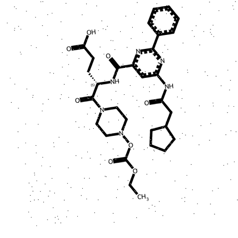 CCOC(=O)ON1CCN(C(=O)[C@H](CCC(=O)O)NC(=O)c2cc(NC(=O)CC3CCCC3)nc(-c3ccccc3)n2)CC1